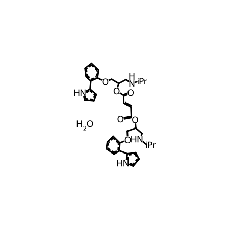 CC(C)NCC(COc1ccccc1-c1ccc[nH]1)OC(=O)/C=C/C(=O)OC(CNC(C)C)COc1ccccc1-c1ccc[nH]1.O